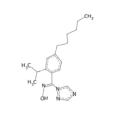 CCCCCCc1ccc(C(=NO)n2cncn2)c(C(C)C)c1